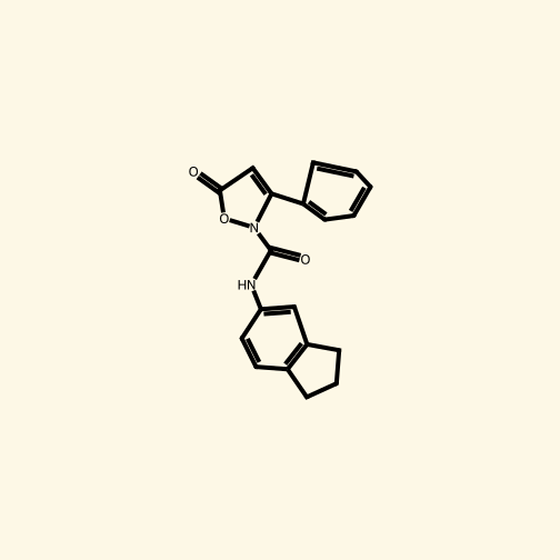 O=C(Nc1ccc2c(c1)CCC2)n1oc(=O)cc1-c1ccccc1